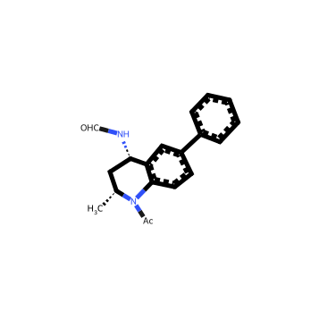 CC(=O)N1c2ccc(-c3ccccc3)cc2[C@@H](NC=O)C[C@H]1C